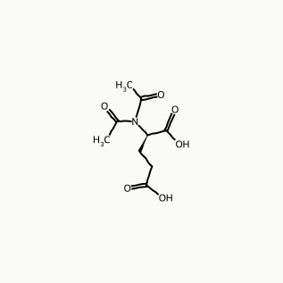 CC(=O)N(C(C)=O)[C@H](CCC(=O)O)C(=O)O